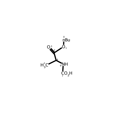 CCCCOC(=O)C(C)NC(=O)O